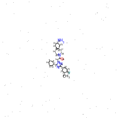 Cc1cc(-c2nc(-c3ccccc3)n(CC(=O)N3CCc4ccc(N)cc4CC3)n2)ccc1F